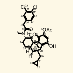 CC(=O)Oc1cc(O)c2c3c1O[C@H]1[C@@H](N(C)C(=O)Cc4ccc(Cl)c(Cl)c4)CC[C@H]4[C@@H](C2)N(CC2CC2)CC[C@@]341